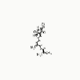 CCOC[PH](=O)C(CCCC=C(C)CCC=C(C)C)P(=O)(O)O